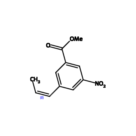 C/C=C\c1cc(C(=O)OC)cc([N+](=O)[O-])c1